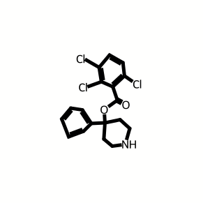 O=C(OC1(c2ccccc2)CCNCC1)c1c(Cl)ccc(Cl)c1Cl